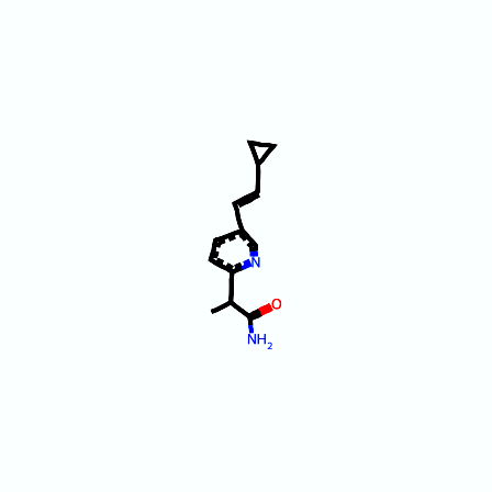 CC(C(N)=O)c1ccc(C=CC2CC2)cn1